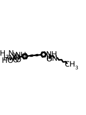 CCCCCCNCC(=O)Nc1ccc(C#CC#Cc2ccc(C(=O)N[C@@H](CN)C(=O)NO)cc2)cc1